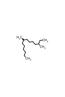 C=C(CCCCCC)CCCCC(C)CC